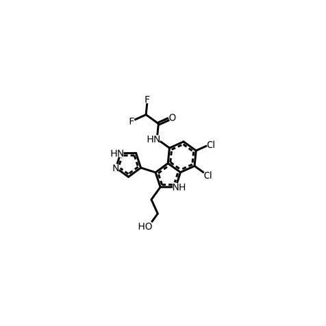 O=C(Nc1cc(Cl)c(Cl)c2[nH]c(CCO)c(-c3cn[nH]c3)c12)C(F)F